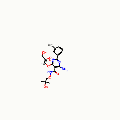 C[C@@H](Oc1nc(-c2cccc(C#N)c2)nc(N)c1C(=O)NOCC(C)(C)O)[C@H](O)CO